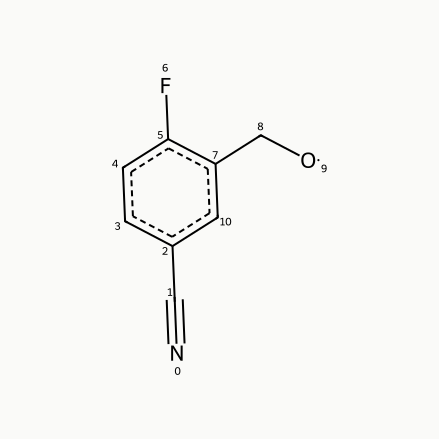 N#Cc1ccc(F)c(C[O])c1